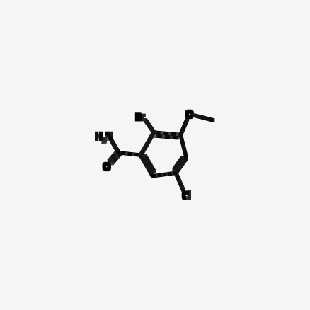 COc1cc(Cl)cc(C(N)=O)c1Br